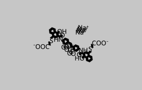 O=C([O-])CCSCc1cc(C(=O)Nc2ccc(C=Cc3ccc(NC(=O)c4cc(CSCCC(=O)[O-])c5ccccc5c4O)cc3S(=O)(=O)[O-])c(S(=O)(=O)[O-])c2)c(O)c2ccccc12.[Na+].[Na+].[Na+].[Na+]